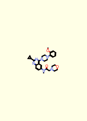 COc1ccccc1N1CCN(c2nc(C3CC3)nc3ccc(N(C)C(=O)CN4CCOCC4)cc23)CC1